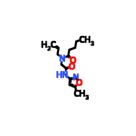 C=CCN(CC(=O)Nc1cc(C)on1)C(=O)CCCC